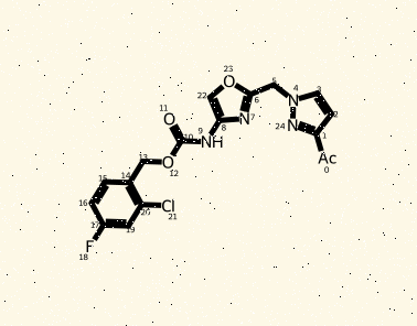 CC(=O)c1ccn(Cc2nc(NC(=O)OCc3ccc(F)cc3Cl)co2)n1